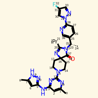 Cc1cc(Nc2cc(C)[nH]n2)nc(N2CCC3(CC2)N=C(C(C)C)N([C@@H](C)c2ccc(-n4cc(F)cn4)nc2)C3=O)n1